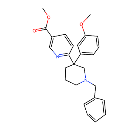 COC(=O)c1ccc(C2(c3cccc(OC)c3)CCCN(Cc3ccccc3)C2)nc1